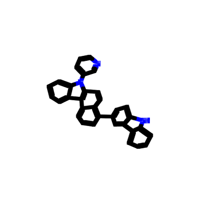 c1cncc(-n2c3ccccc3c3c4cccc(-c5ccc6[nH]c7ccccc7c6c5)c4ccc32)c1